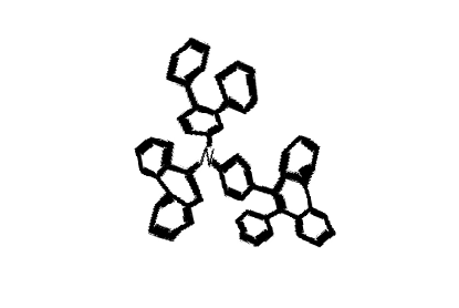 c1ccc(-c2ccc(N(c3ccc(-c4c(-c5ccccc5)c5ccccc5c5ccccc45)cc3)c3cc4ccccc4c4ccccc34)cc2-c2ccccc2)cc1